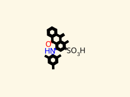 C=C1c2ccccc2C(=O)c2c(Nc3c(C)cc(C)cc3C)cc(S(=O)(=O)O)c(C)c21